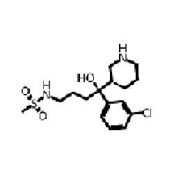 CS(=O)(=O)NCCC[C@@](O)(c1cccc(Cl)c1)[C@@H]1CCCNC1